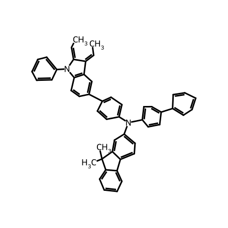 C/C=c1\c(=C/C)n(-c2ccccc2)c2ccc(-c3ccc(N(c4ccc(-c5ccccc5)cc4)c4ccc5c(c4)C(C)(C)c4ccccc4-5)cc3)cc12